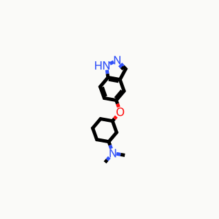 CN(C)C1CCCC(Oc2ccc3[nH]ncc3c2)C1